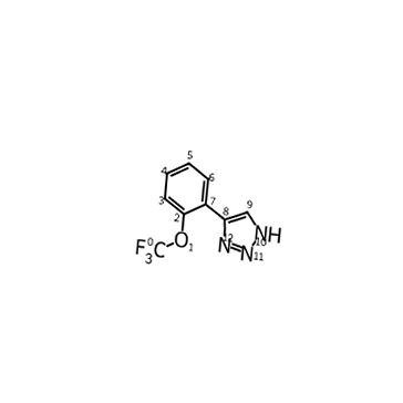 FC(F)(F)Oc1ccccc1-c1c[nH]nn1